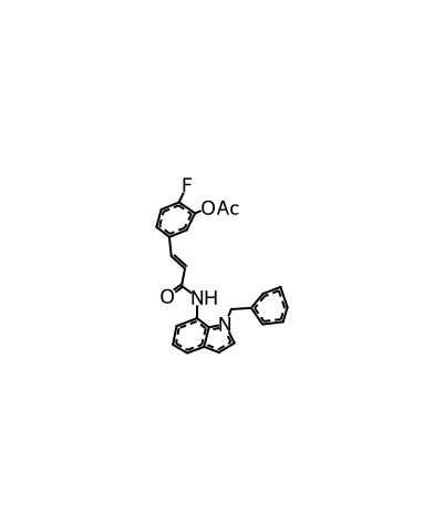 CC(=O)Oc1cc(C=CC(=O)Nc2cccc3ccn(Cc4ccccc4)c23)ccc1F